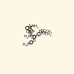 CN1CCC(Oc2cc(N3CCN(C(=O)OC(C)(C)C)CC3)cc(/C(N)=N/OC(=O)C3(C)CCCc4sc(N)c(C#N)c43)n2)CC1